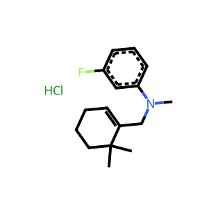 CN(CC1=CCCCC1(C)C)c1cccc(F)c1.Cl